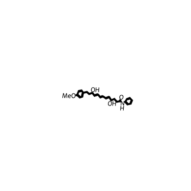 COc1ccc(CCC(O)C=CC=CC=CC(O)CCC(=O)Nc2ccccc2)cc1